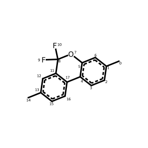 Cc1ccc2c(c1)OC(F)(F)c1cc(C)ccc1-2